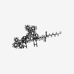 CCCCCCCCC(I)C(I)CCCCC(=O)NCCCCC(NC(=O)CSC(c1ccccc1)(c1ccccc1)c1ccccc1)C(=O)NCCSC(c1ccccc1)(c1ccccc1)c1ccccc1